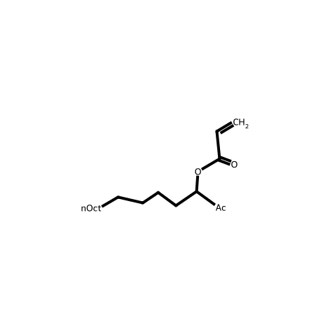 C=CC(=O)OC(CCCCCCCCCCCC)C(C)=O